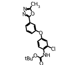 Cc1nnc(-c2cccc(Oc3ccc(NC(=O)OC(C)(C)C)c(Cl)c3)c2)o1